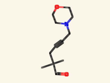 CC(C)(C=O)CC#CCN1CCOCC1